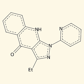 CCc1nn(-c2ccccn2)c2[nH]c3ccccc3c(=O)c12